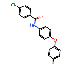 O=C(Nc1ccc(Oc2ccc(F)cc2)cc1)c1ccc(Cl)cc1